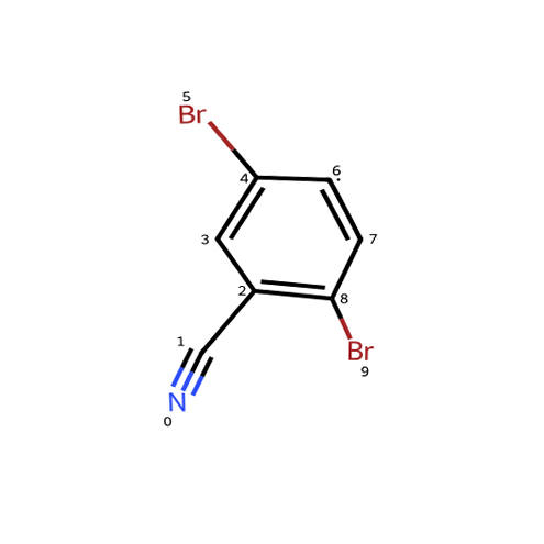 N#Cc1cc(Br)[c]cc1Br